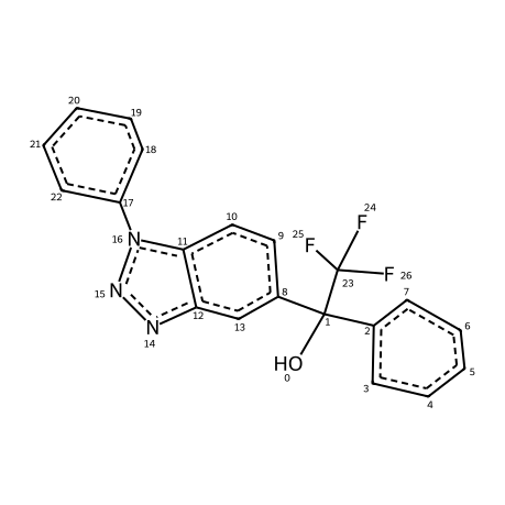 OC(c1ccccc1)(c1ccc2c(c1)nnn2-c1ccccc1)C(F)(F)F